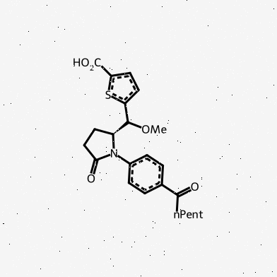 CCCCCC(=O)c1ccc(N2C(=O)CC[C@H]2C(OC)c2ccc(C(=O)O)s2)cc1